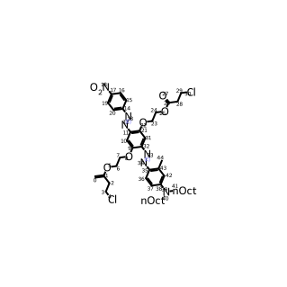 C=C(CCCl)OCCOc1cc(/N=N/c2ccc([N+](=O)[O-])cc2)c(OCCOC(=O)CCCl)cc1/N=N/c1ccc(N(CCCCCCCC)CCCCCCCC)cc1C